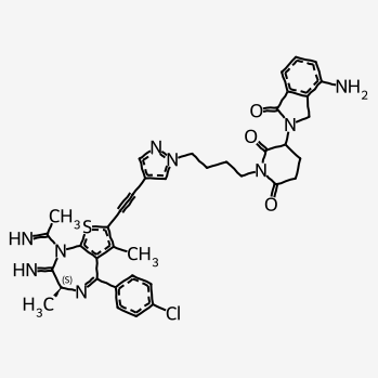 CC(=N)N1C(=N)[C@H](C)N=C(c2ccc(Cl)cc2)c2c1sc(C#Cc1cnn(CCCCN3C(=O)CCC(N4Cc5c(N)cccc5C4=O)C3=O)c1)c2C